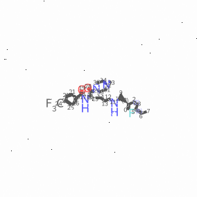 C=C(/C=C\C(F)=C/C)[C@@H]1CC1NCCCC[C@H](NC(=O)c1ccc(C(F)(F)F)cc1)C(=O)N1CCN(C)CC1